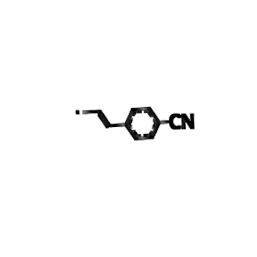 [CH2]C=Cc1ccc(C#N)cc1